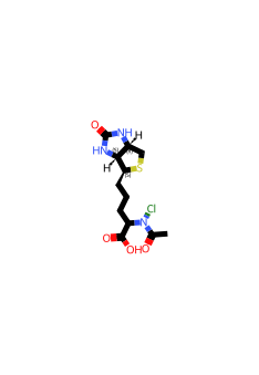 CC(=O)N(Cl)C(CCC[C@@H]1SC[C@@H]2NC(=O)N[C@@H]21)C(=O)O